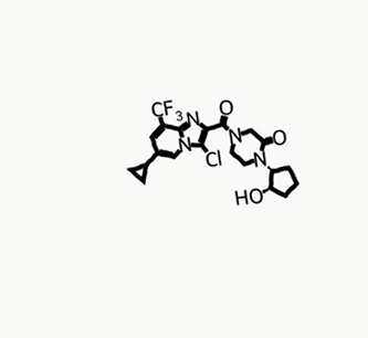 O=C(c1nc2c(C(F)(F)F)cc(C3CC3)cn2c1Cl)N1CCN([C@@H]2CCC[C@H]2O)C(=O)C1